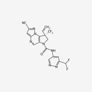 C=C[C@@]1(C(F)(F)F)CN(C(=O)Nc2cnnc(C(F)F)c2)c2cnc3cc(C#N)nn3c21